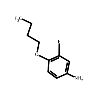 Nc1ccc(OCCCC(F)(F)F)c(F)c1